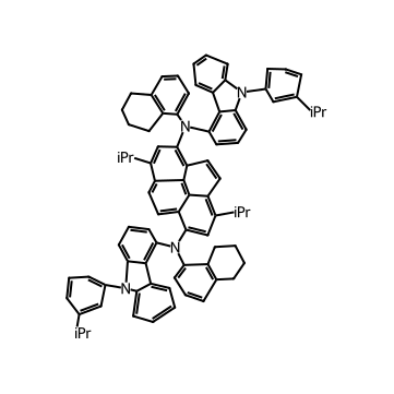 CC(C)c1cccc(-n2c3ccccc3c3c(N(c4cccc5c4CCCC5)c4cc(C(C)C)c5ccc6c(N(c7cccc8c7CCCC8)c7cccc8c7c7ccccc7n8-c7cccc(C(C)C)c7)cc(C(C)C)c7ccc4c5c76)cccc32)c1